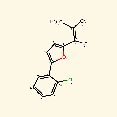 CCC(=C(C#N)C(=O)O)c1ccc(-c2ccccc2Cl)o1